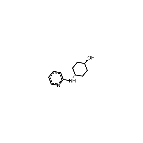 O[C@H]1CC[C@H](Nc2ccccn2)CC1